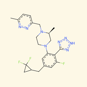 Cc1ccc(CN2CCN(c3cc(CC4CC4(F)F)cc(F)c3-c3nn[nH]n3)C[C@@H]2C)nn1